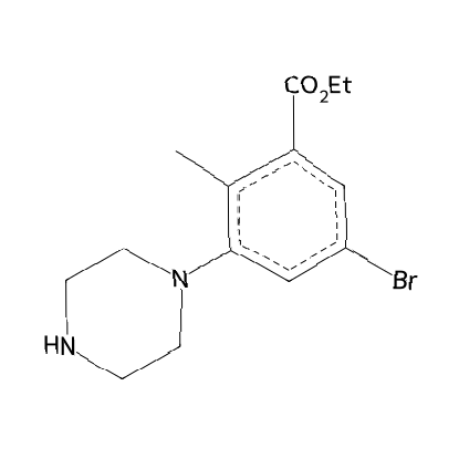 CCOC(=O)c1cc(Br)cc(N2CCNCC2)c1C